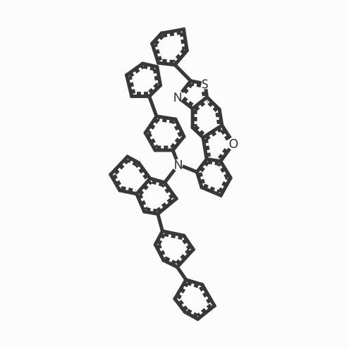 c1ccc(-c2ccc(-c3cc(N(c4ccc(-c5ccccc5)cc4)c4cccc5oc6cc7sc(-c8ccccc8)nc7cc6c45)c4ccccc4c3)cc2)cc1